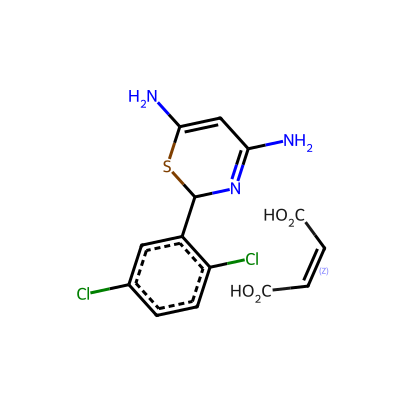 NC1=CC(N)=NC(c2cc(Cl)ccc2Cl)S1.O=C(O)/C=C\C(=O)O